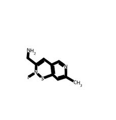 Cc1cc2c(cn1)C=C(CN)N(I)S2